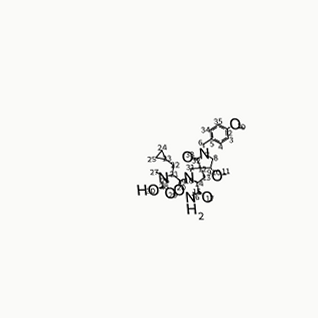 COc1ccc(CN2CC(OC)[C@@]3(C[C@@H](C(N)=O)N(C(=O)[C@H](CC4CC4)N(C)C(=O)O)C3)C2=O)cc1